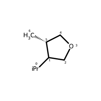 CC(C)C1COC[C@H]1C